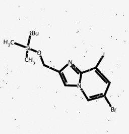 CC(C)(C)[Si](C)(C)OCc1cn2cc(Br)cc(I)c2n1